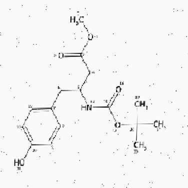 COC(=O)CC(Cc1ccc(O)cc1)NC(=O)OC(C)(C)C